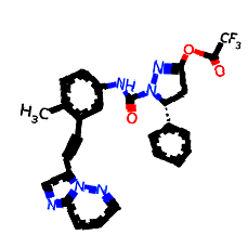 Cc1ccc(NC(=O)N2N=C(OC(=O)C(F)(F)F)C[C@@H]2c2ccccc2)cc1C#Cc1cnc2cccnn12